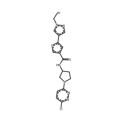 CC(C)Cn1cc(-c2cc(C(=O)NC3CCN(c4ccc(Cl)nn4)C3)cs2)cn1